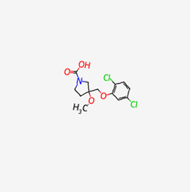 COC1(COc2cc(Cl)ccc2Cl)CCN(C(=O)O)C1